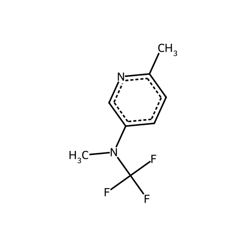 Cc1ccc(N(C)C(F)(F)F)cn1